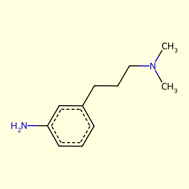 CN(C)CCCc1cccc(N)c1